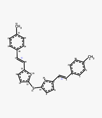 Cc1ccc(/C=C/c2ccc(Sc3ccc(/C=C/c4ccc(C)cc4)s3)s2)cc1